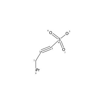 CC(C)CC#CS([O])(=O)=O